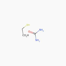 NC(N)=O.O=C(O)CS